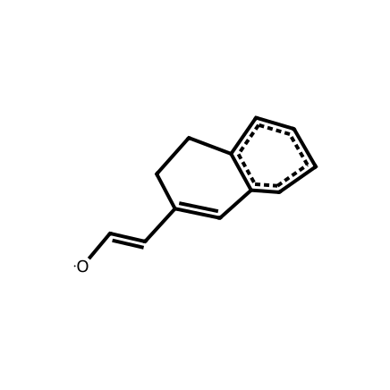 [O]C=CC1=Cc2ccccc2CC1